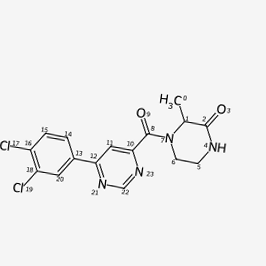 CC1C(=O)NCCN1C(=O)c1cc(-c2ccc(Cl)c(Cl)c2)ncn1